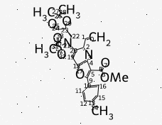 C=Cc1nc2c(C(=O)OC)c(-c3ccc(C)cc3)oc2cc1N(C[C@H]1COC(C)(C)O1)S(C)(=O)=O